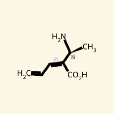 C=C/C=C(\C(=O)O)[C@H](C)N